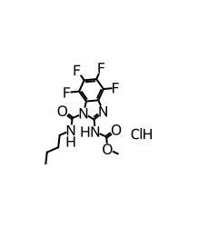 CCCCNC(=O)n1c(NC(=O)OC)nc2c(F)c(F)c(F)c(F)c21.Cl